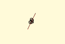 CCCCCCCCCCCCCCCC(=O)OCC(COC(=O)CCCCCCCCCCCCCCC)N(C)C